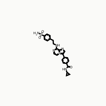 NS(=O)(=O)c1ccc(CCNc2nccn3c(-c4ccc(C(=O)NC5CC5)cc4)cnc23)cc1